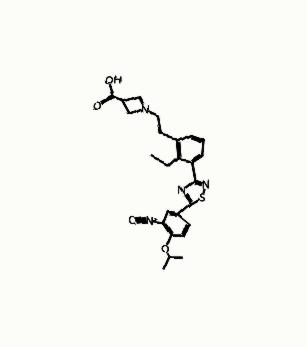 [C-]#[N+]c1cc(-c2nc(-c3cccc(CCN4CC(C(=O)O)C4)c3CC)ns2)ccc1OC(C)C